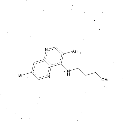 CC(=O)OCCCNc1c([AsH2])cnc2cc(Br)cnc12